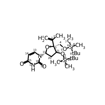 C=C(C)[C@]1(CO[Si](C)(C)C(C)(C)C)O[C@@H](n2ccc(=O)[nH]c2=O)CC1O[Si](C)(C)C(C)(C)C